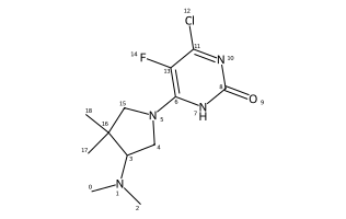 CN(C)C1CN(c2[nH]c(=O)nc(Cl)c2F)CC1(C)C